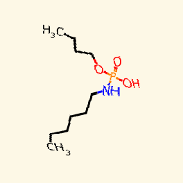 CCCCCCNP(=O)(O)OCCCC